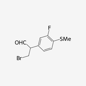 CSc1ccc(C(C=O)CBr)cc1F